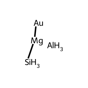 [AlH3].[SiH3][Mg][Au]